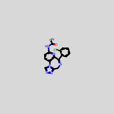 CCCC(=O)Nc1ccc2c(n1)C(c1ccccc1Cl)=NCc1nncn1-2